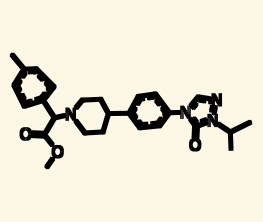 COC(=O)C(c1ccc(C)cc1)N1CCC(c2ccc(-n3cnn(C(C)C)c3=O)cc2)CC1